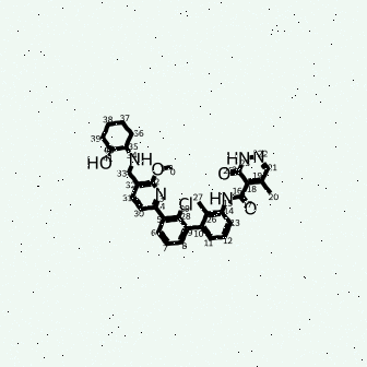 COc1nc(-c2cccc(-c3cccc(NC(=O)c4c(C)cn[nH]c4=O)c3C)c2Cl)ccc1CNC1CCCC[C@@H]1O